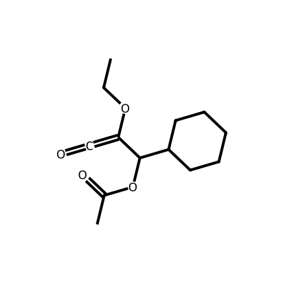 CCOC(=C=O)C(OC(C)=O)C1CCCCC1